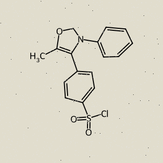 CC1=C(c2ccc(S(=O)(=O)Cl)cc2)N(c2ccccc2)CO1